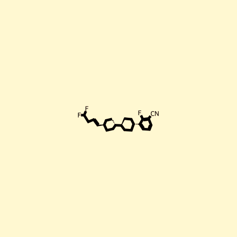 N#Cc1cccc([C@H]2CC[C@H]([C@H]3CC[C@H](C=CCC(F)F)CC3)CC2)c1F